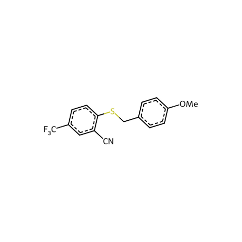 COc1ccc(CSc2ccc(C(F)(F)F)cc2C#N)cc1